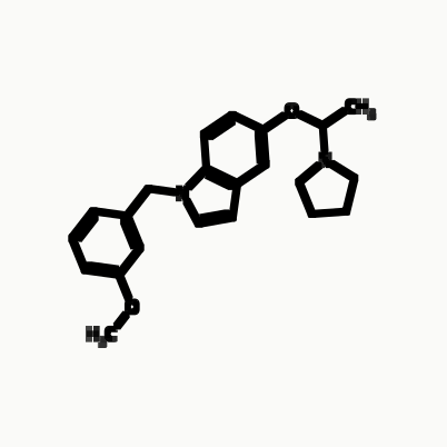 COc1cccc(Cn2ccc3cc(OC(C)N4CCCC4)ccc32)c1